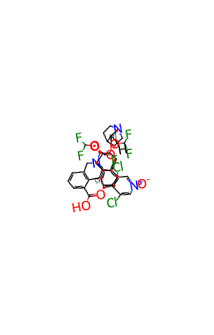 O=C(O)c1cccc(CN(C(=O)O[C@H]2CN3CCC2CC3)c2ccccc2F)c1[C@@H](Cc1c(Cl)c[n+]([O-])cc1Cl)c1ccc(OC(F)F)c(OC(F)F)c1